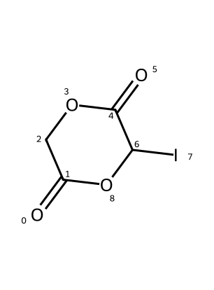 O=C1COC(=O)C(I)O1